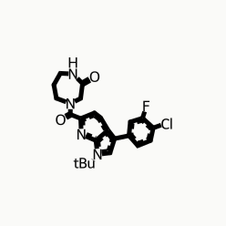 CC(C)(C)n1cc(-c2ccc(Cl)c(F)c2)c2ccc(C(=O)N3CCCNC(=O)C3)nc21